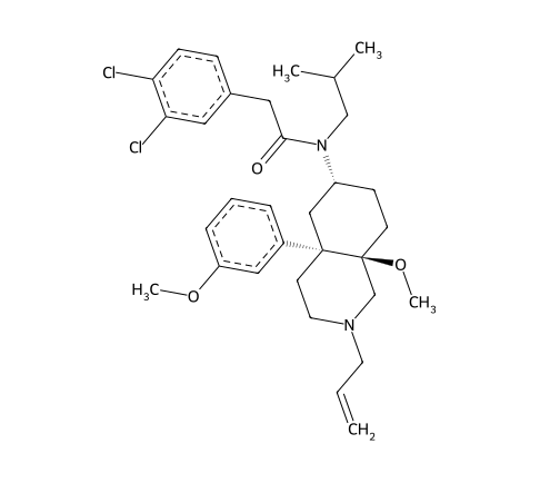 C=CCN1CC[C@@]2(c3cccc(OC)c3)C[C@H](N(CC(C)C)C(=O)Cc3ccc(Cl)c(Cl)c3)CC[C@]2(OC)C1